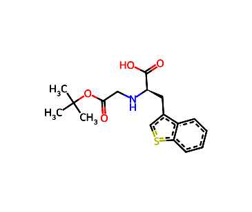 CC(C)(C)OC(=O)CN[C@H](Cc1csc2ccccc12)C(=O)O